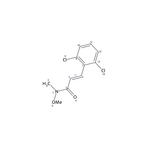 CON(C)C(=O)/C=C/c1c(Cl)cccc1Cl